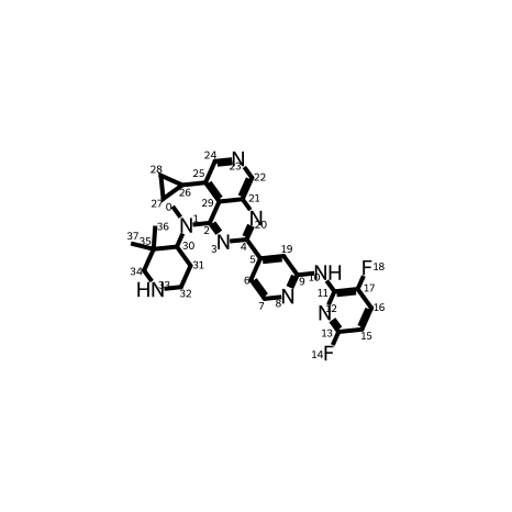 CN(c1nc(-c2ccnc(Nc3nc(F)ccc3F)c2)nc2cncc(C3CC3)c12)C1CCNCC1(C)C